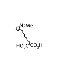 CON=C1CCC=C1CCCCCCCC(C(=O)O)C(=O)O